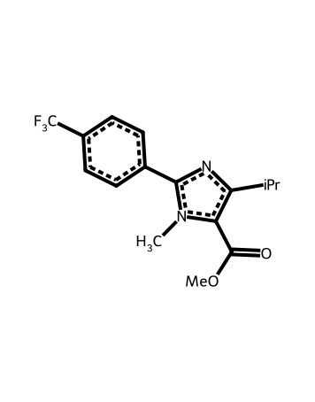 COC(=O)c1c(C(C)C)nc(-c2ccc(C(F)(F)F)cc2)n1C